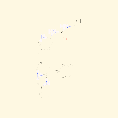 CCNC(=O)Nc1ccc(Cc2cc(-c3cccc(Cl)c3)c3nc(C)cn3c2)cn1